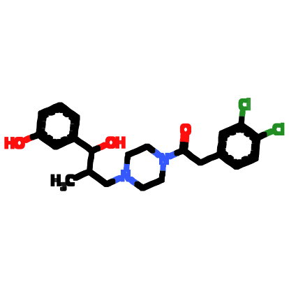 CC(CN1CCN(C(=O)Cc2ccc(Cl)c(Cl)c2)CC1)C(O)c1cccc(O)c1